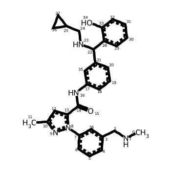 CNCc1cccc(-n2nc(C)cc2C(=O)Nc2cccc(C(NCC3CC3)c3ccccc3O)c2)c1